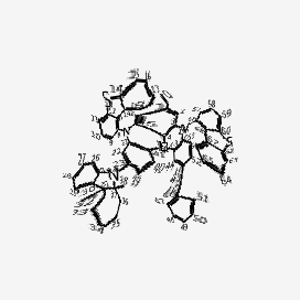 Cc1cc2c3c(c1)N(c1cccc4sc5ccccc5c14)c1cc(N4c5ccccc5C5(C)CCCCC45C)ccc1B3c1cc(-c3ccccc3)ccc1N2c1cccc2sc3ccccc3c12